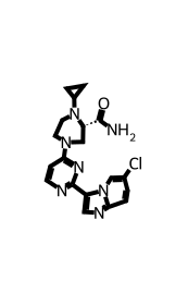 NC(=O)[C@@H]1CN(c2ccnc(-c3cnc4ccc(Cl)cn34)n2)CCN1C1CC1